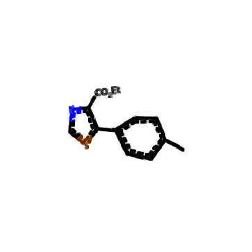 CCOC(=O)c1ncsc1-c1ccc(C)cc1